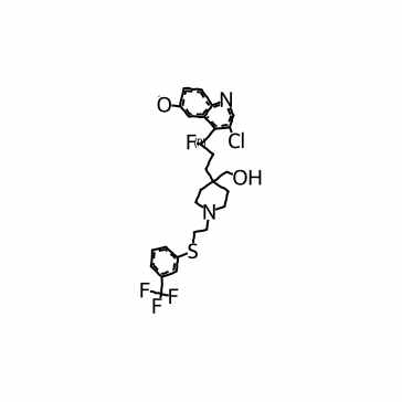 COc1ccc2ncc(Cl)c([C@H](F)CCC3(CO)CCN(CCSc4cccc(C(F)(F)F)c4)CC3)c2c1